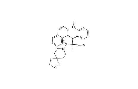 COc1ccccc1[C@H](c1cccc2ccccc12)[C@@](C)(C#N)C(=O)N1CCC2(CC1)OCCO2